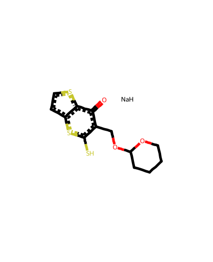 O=c1c(COC2CCCCO2)c(S)sc2ccsc12.[NaH]